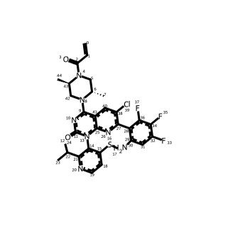 C=CC(=O)N1C[C@H](C)N(c2nc(=O)n(-c3c(SC)ccnc3C(C)C)c3nc(-c4c(N)cc(F)c(F)c4F)c(Cl)cc23)C[C@H]1C